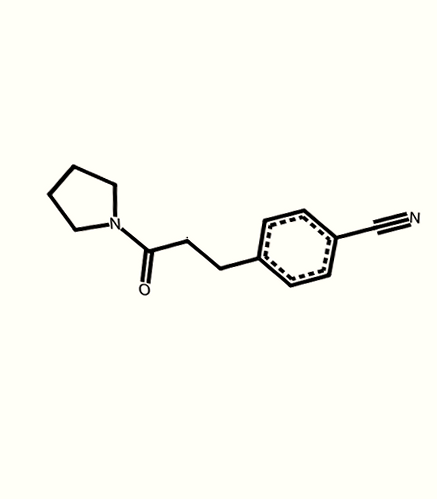 N#Cc1ccc(C[CH]C(=O)N2CCCC2)cc1